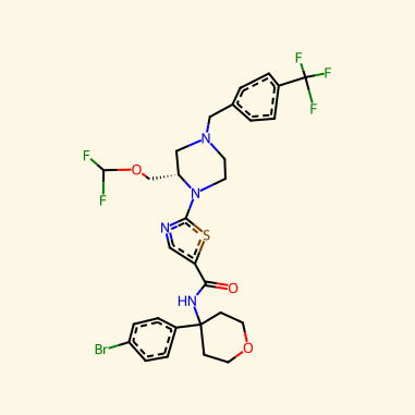 O=C(NC1(c2ccc(Br)cc2)CCOCC1)c1cnc(N2CCN(Cc3ccc(C(F)(F)F)cc3)C[C@H]2COC(F)F)s1